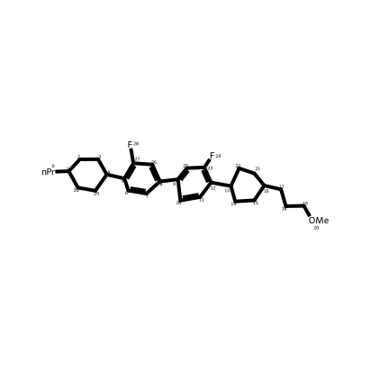 CCCC1CCC(c2ccc(-c3ccc(C4CCC(CCCOC)CC4)c(F)c3)cc2F)CC1